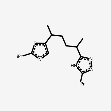 CC(C)c1nnc(C(C)CCC(C)c2cnc(C(C)C)s2)[nH]1